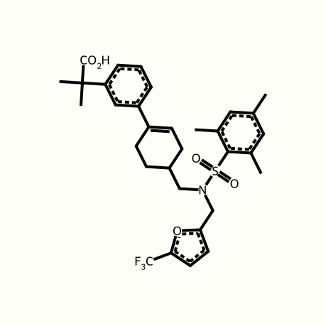 Cc1cc(C)c(S(=O)(=O)N(Cc2ccc(C(F)(F)F)o2)CC2CC=C(c3cccc(C(C)(C)C(=O)O)c3)CC2)c(C)c1